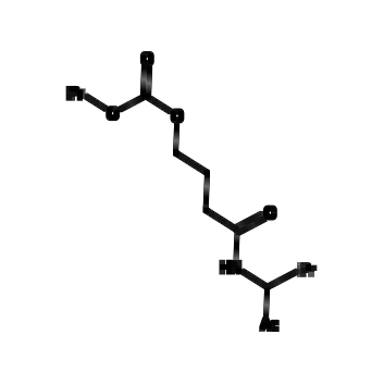 CC(=O)C(NC(=O)CCCOC(=O)OC(C)C)C(C)C